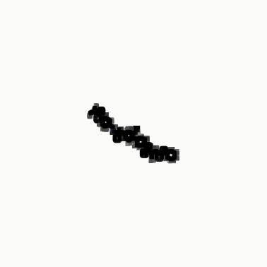 C=C(C)C(=O)Oc1ccc(/C=C/C(=O)Sc2ccc(-c3ccc(OC(=O)C(=C)CC(=O)OC4CCCCC4)cc3)c(F)c2)cc1